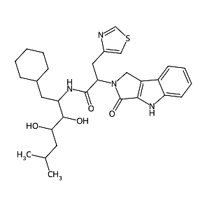 CC(C)CC(O)C(O)C(CC1CCCCC1)NC(=O)C(Cc1cscn1)N1Cc2c([nH]c3ccccc23)C1=O